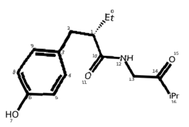 CC[C@@H](Cc1ccc(O)cc1)C(=O)NCC(=O)C(C)C